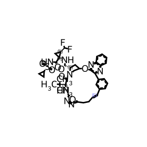 CC(C)(C)[C@@H]1Nc2nnc(o2)CC/C=C/c2cccc(c2)-c2nc3ccccc3nc2OC2C[C@@H](C(=O)N[C@]3(C(=O)NS(=O)(=O)C4CC4)C[C@H]3C(F)F)N(C2)C1=O